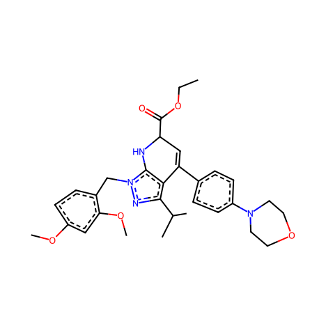 CCOC(=O)C1C=C(c2ccc(N3CCOCC3)cc2)c2c(C(C)C)nn(Cc3ccc(OC)cc3OC)c2N1